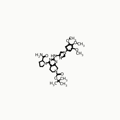 COc1cc(-n2cnc(Nc3nc4c(c(N5CCCC5C(N)=O)n3)CCN(C(=O)OC(C)(C)C)C4)c2)cc(OC)c1OC